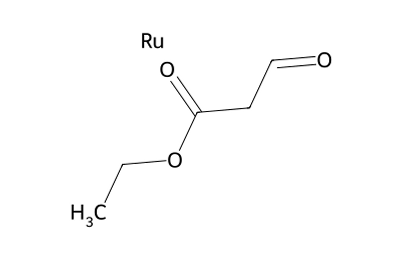 CCOC(=O)CC=O.[Ru]